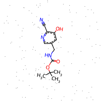 CC(C)(C)OC(=O)NCc1cnc(C#N)c(O)c1